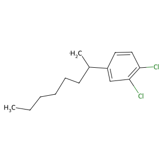 [CH2]C(CCCCCC)c1ccc(Cl)c(Cl)c1